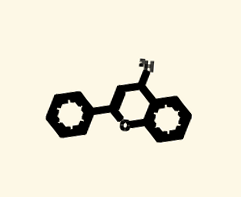 [2H]C1C=C(c2ccccc2)Oc2ccccc21